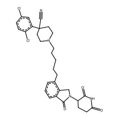 N#CC1(c2cc(Cl)ccc2Cl)CCN(CCCCCc2cccc3c2CN(C2CCC(=O)NC2=O)C3=O)CC1